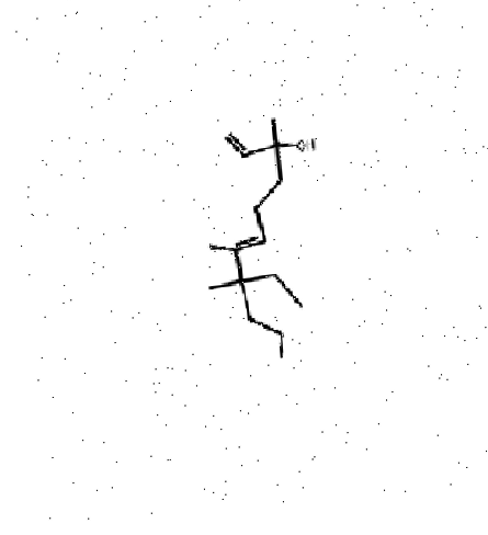 C=CC(C)(O)CC/C=C(\C)C(C)(CC)CCC